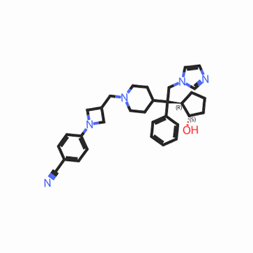 N#Cc1ccc(N2CC(CN3CCC(C(Cn4ccnc4)(c4ccccc4)[C@H]4CCC[C@@H]4O)CC3)C2)cc1